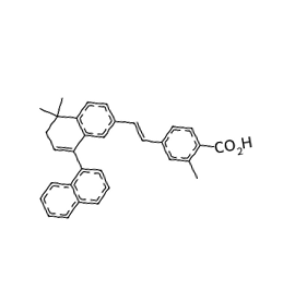 Cc1cc(C=Cc2ccc3c(c2)C(c2cccc4ccccc24)=CCC3(C)C)ccc1C(=O)O